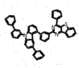 c1ccc(-c2cccc(-n3c4ccc(-c5ccccc5)cc4c4c(-c5cccc(-c6nc(-c7ccccc7)c7sc8ccccc8c7n6)c5)cccc43)c2)cc1